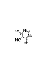 N#Cc1c(F)ncnc1F